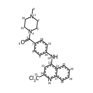 CN1CCN(C(=O)c2ccc(Nc3cc(C(Cl)(Cl)Cl)nc4ccccc34)cc2)CC1